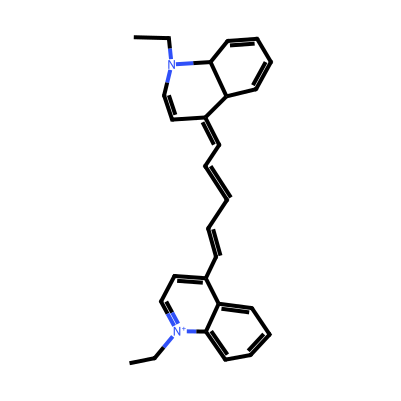 CCN1C=C\C(=C/C=C/C=C/c2cc[n+](CC)c3ccccc23)C2C=CC=CC21